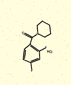 Cl.O=C(c1ccc(F)cc1F)N1CCCCC1